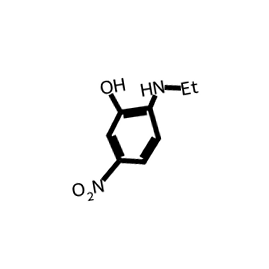 CCNc1ccc([N+](=O)[O-])cc1O